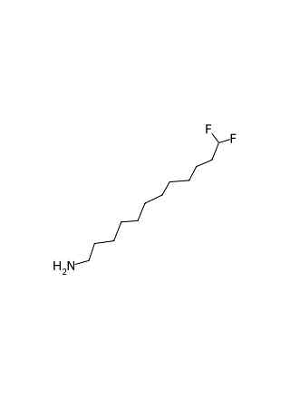 NCCCCCCCCCCCC(F)F